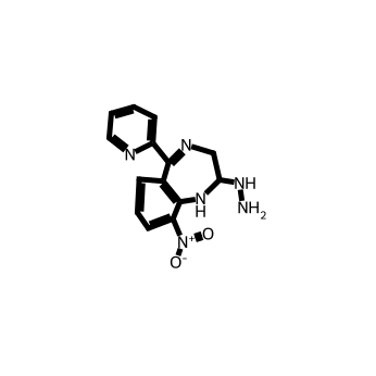 NNC1CN=C(c2ccccn2)c2cccc([N+](=O)[O-])c2N1